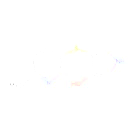 COc1ccc(Sc2c[nH]cc2O)cn1